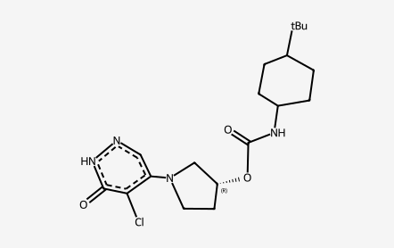 CC(C)(C)C1CCC(NC(=O)O[C@@H]2CCN(c3cn[nH]c(=O)c3Cl)C2)CC1